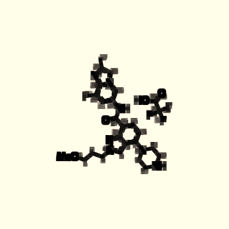 COCCCn1cc2c(N3CCNCC3)ccc(C(=O)Nc3cc(F)c4nc(C)cn4c3)c2n1.O=C(O)C(F)(F)F